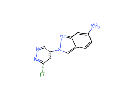 Nc1ccc2cn(-c3cnnc(Cl)c3)nc2c1